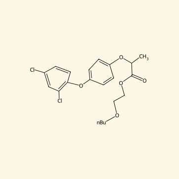 CCCCOCCOC(=O)C(C)Oc1ccc(Oc2ccc(Cl)cc2Cl)cc1